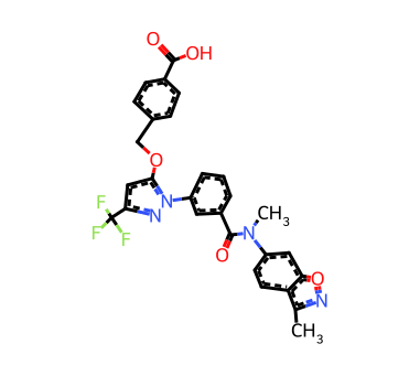 Cc1noc2cc(N(C)C(=O)c3cccc(-n4nc(C(F)(F)F)cc4OCc4ccc(C(=O)O)cc4)c3)ccc12